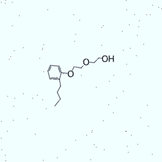 CCCCc1ccccc1OCCOCCO